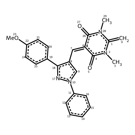 C=c1n(C)c(=O)c(=Cc2cn(-c3ccccc3)nc2-c2ccc(OC)cc2)c(=O)n1C